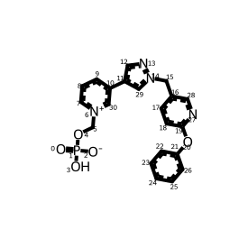 O=P([O-])(O)OC[n+]1cccc(-c2cnn(Cc3ccc(Oc4ccccc4)nc3)c2)c1